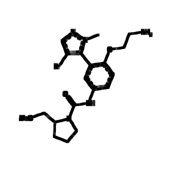 COCC1CCCN1C(=O)Nc1ccc(OCCN)c(-c2c(Br)cnn2C)c1